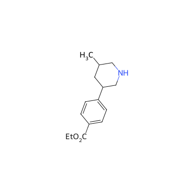 CCOC(=O)c1ccc(C2CNCC(C)C2)cc1